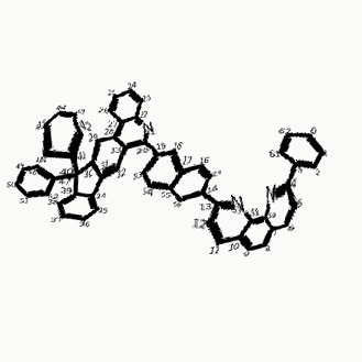 c1ccc(-c2ccc3ccc4ccc(-c5ccc6cc(-c7nc8ccccc8c8cc9c(cc78)-c7ccccc7C9(c7ccccc7)c7ccccc7)ccc6c5)nc4c3n2)cc1